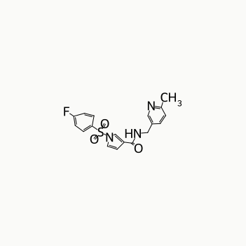 Cc1ccc(CNC(=O)c2ccn(S(=O)(=O)c3ccc(F)cc3)c2)cn1